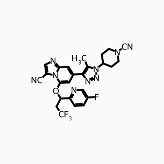 Cc1c(-c2cc(OC(CC(F)(F)F)c3ccc(F)cn3)n3c(C#N)cnc3c2)nnn1C1CCN(C#N)CC1